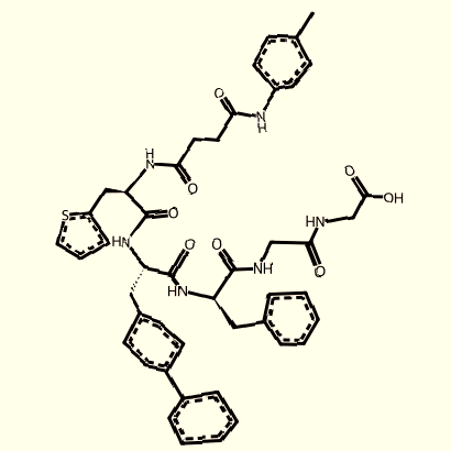 Cc1ccc(NC(=O)CCC(=O)N[C@H](Cc2cccs2)C(=O)N[C@@H](Cc2ccc(-c3ccccc3)cc2)C(=O)N[C@H](Cc2ccccc2)C(=O)NCC(=O)NCC(=O)O)cc1